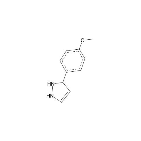 COc1ccc(C2C=CNN2)cc1